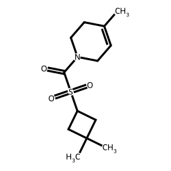 CC1=CCN(C(=O)S(=O)(=O)C2CC(C)(C)C2)CC1